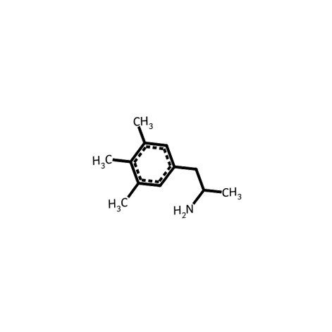 Cc1cc(CC(C)N)cc(C)c1C